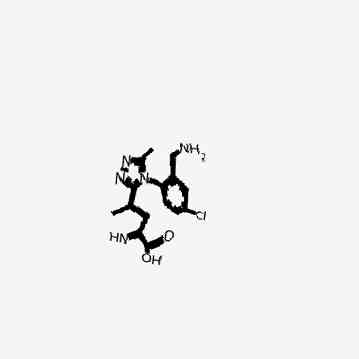 Cc1nnc(C(C)CC(=N)C(=O)O)n1-c1ccc(Cl)cc1CN